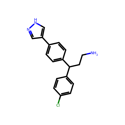 NCCC(c1ccc(Cl)cc1)c1ccc(-c2cn[nH]c2)cc1